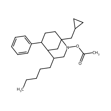 CCCCCC1CN(OC(C)=O)C2(CC3CC3)CCC(c3ccccc3)C1C2